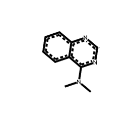 CN(C)c1n[c]nc2ccccc12